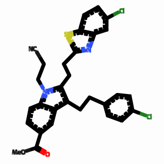 COC(=O)c1ccc2c(c1)c(CCc1ccc(Cl)cc1)c(CCc1nc3cc(Cl)ccc3s1)n2CCC#N